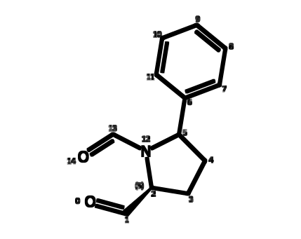 O=C[C@@H]1CCC(c2ccccc2)N1C=O